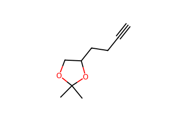 C#CCCC1COC(C)(C)O1